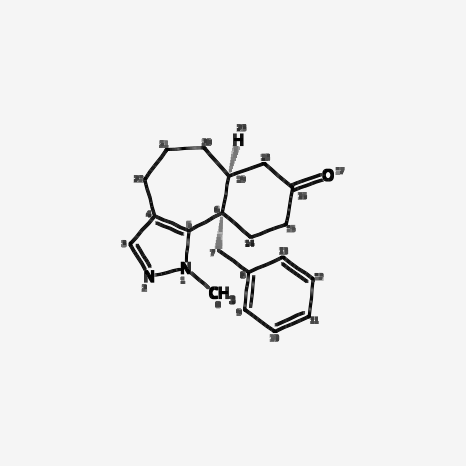 Cn1ncc2c1[C@]1(Cc3ccccc3)CCC(=O)C[C@@H]1CCC2